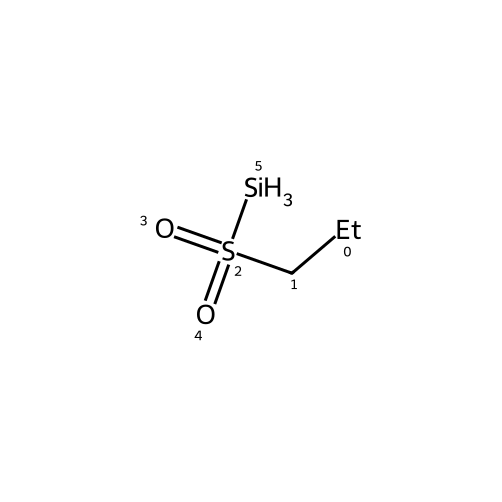 CCCS(=O)(=O)[SiH3]